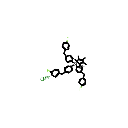 CC1=C(C)C(C)([Si](c2ccc(Cc3ccc(F)cc3)cc2)(c2ccc(Cc3ccc(F)cc3)cc2)c2ccc(Cc3ccc(F)cc3)cc2)[C]([Ti+3])=C1C.[Cl-].[Cl-].[Cl-]